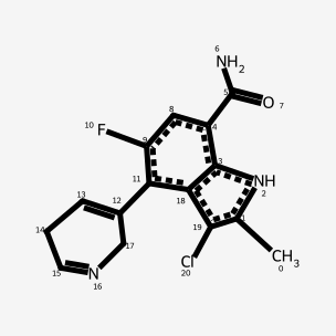 Cc1[nH]c2c(C(N)=O)cc(F)c(C3=CCC=NC3)c2c1Cl